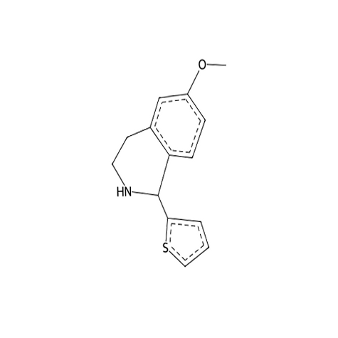 COc1ccc2c(c1)CCNC2c1cccs1